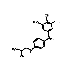 Cc1cc(C(=O)c2ccc(NCC(C)O)cc2)cc(C)c1O